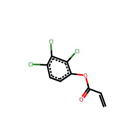 C=CC(=O)Oc1ccc(Cl)c(Cl)c1Cl